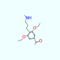 CCOc1cc(C(C)=O)cc(OCC)c1CCCNC